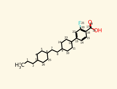 CCCC1CCC(CCC2CCC(c3ccc(C(=O)O)c(F)c3)CC2)CC1